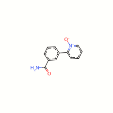 NC(=O)c1cccc(-c2cccc[n+]2[O-])c1